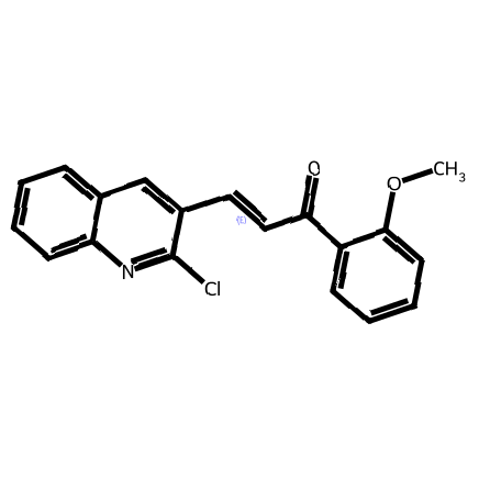 COc1ccccc1C(=O)/C=C/c1cc2ccccc2nc1Cl